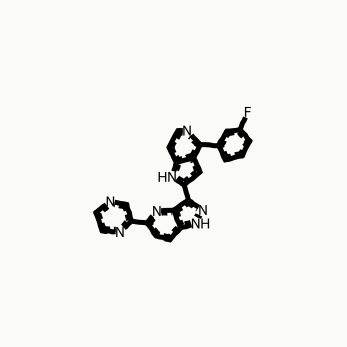 Fc1cccc(-c2nccc3[nH]c(-c4n[nH]c5ccc(-c6cnccn6)nc45)cc23)c1